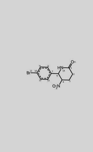 O=C1CCC([N+](=O)[O-])C(c2ccc(Br)cc2)N1